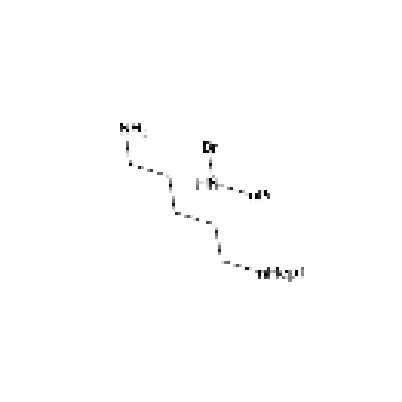 CCCCCCCCCCCCN.CCCNBr